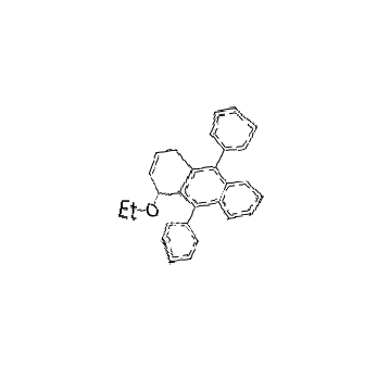 CCOC1C=CCc2c1c(-c1ccccc1)c1ccccc1c2-c1ccccc1